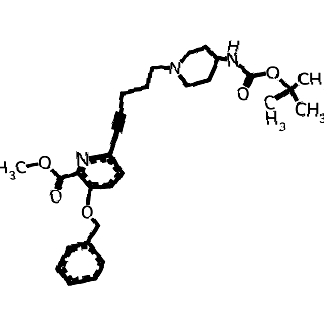 COC(=O)c1nc(C#CCCCN2CCC(NC(=O)OC(C)(C)C)CC2)ccc1OCc1ccccc1